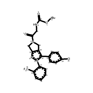 CC(C)(C)OC(=O)NCC(=O)N1Cc2nn(-c3ccccc3C(F)(F)F)c(-c3ccc(Cl)cc3)c2C1